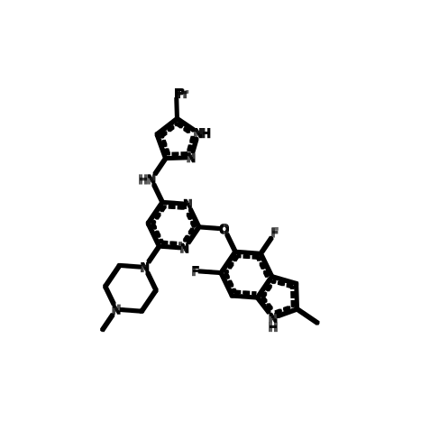 Cc1cc2c(F)c(Oc3nc(Nc4cc(C(C)C)[nH]n4)cc(N4CCN(C)CC4)n3)c(F)cc2[nH]1